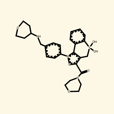 O=C(c1nn(-c2ccc(CNC3CCOCC3)cc2)c2c1CS(O)(O)c1ccccc1-2)N1CCOCC1